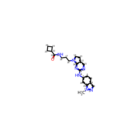 Cn1ncc2ccc(Nc3ncc4ccn(CCCNC(=O)C5CCC5)c4n3)cc21